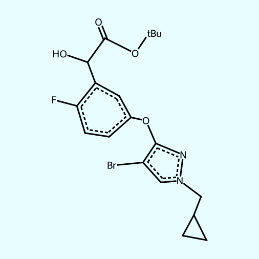 CC(C)(C)OC(=O)C(O)c1cc(Oc2nn(CC3CC3)cc2Br)ccc1F